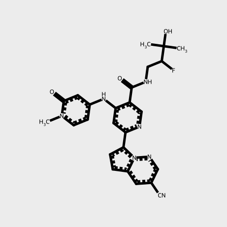 Cn1ccc(Nc2cc(-c3ccc4cc(C#N)cnn34)ncc2C(=O)NCC(F)C(C)(C)O)cc1=O